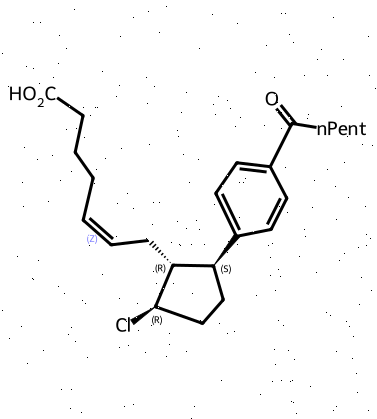 CCCCCC(=O)c1ccc([C@H]2CC[C@@H](Cl)[C@@H]2C/C=C\CCCC(=O)O)cc1